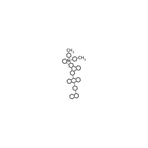 Cc1ccc([Si]2(c3ccc(C)cc3)c3ccccc3-c3cc4c5ccc(-c6c7ccccc7c(-c7ccc(-c8cccc9ccccc89)cc7)c7ccccc67)cc5c5ccccc5c4cc32)cc1